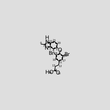 Cc1nc2cc(Oc3c(Br)cc(CCC(=O)O)cc3Br)ccc2[nH]1